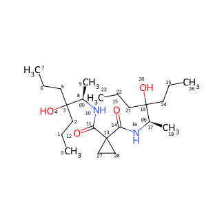 CCCC(O)(CCC)[C@@H](C)NC(=O)C1(C(=O)N[C@H](C)C(O)(CCC)CCC)CC1